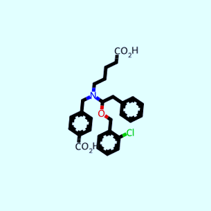 O=C(O)CCCCN(Cc1ccc(C(=O)O)cc1)C(Cc1ccccc1)OCc1ccccc1Cl